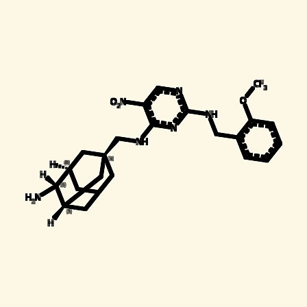 N[C@@H]1[C@@H]2CC3C[C@H]1C[C@@](CNc1nc(NCc4ccccc4OC(F)(F)F)ncc1[N+](=O)[O-])(C3)C2